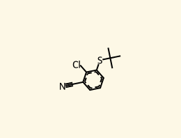 CC(C)(C)Sc1cccc(C#N)c1Cl